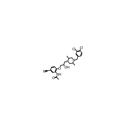 CC(=O)Nc1cc(C#N)ccc1OCC(O)CN1CC(C)N(Cc2ccc(Cl)c(Cl)c2)CC1C